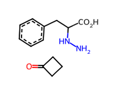 NNC(Cc1ccccc1)C(=O)O.O=C1CCC1